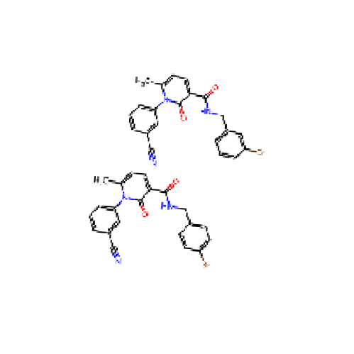 Cc1ccc(C(=O)NCc2ccc(Br)cc2)c(=O)n1-c1cccc(C#N)c1.Cc1ccc(C(=O)NCc2cccc(Br)c2)c(=O)n1-c1cccc(C#N)c1